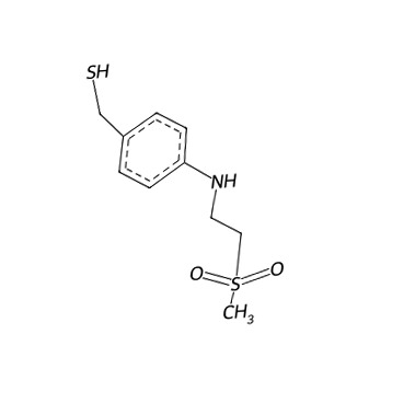 CS(=O)(=O)CCNc1ccc(CS)cc1